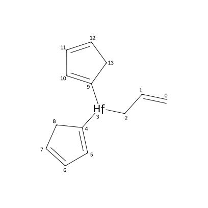 C=C[CH2][Hf]([C]1=CC=CC1)[C]1=CC=CC1